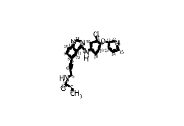 CSC(=O)NCC#Cc1ccc2ncnc(Nc3ccc(Oc4cccnc4)c(Cl)c3)c2c1